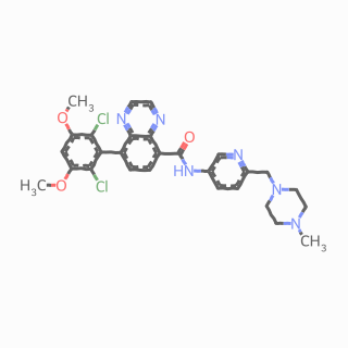 COc1cc(OC)c(Cl)c(-c2ccc(C(=O)Nc3ccc(CN4CCN(C)CC4)nc3)c3nccnc23)c1Cl